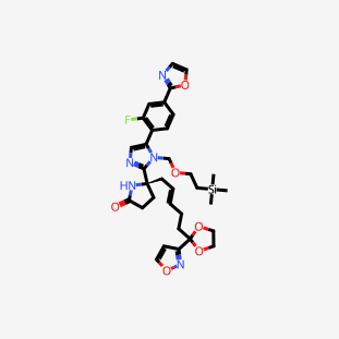 C[Si](C)(C)CCOCn1c(-c2ccc(-c3ncco3)cc2F)cnc1[C@]1(C/C=C/CCC2(c3ccon3)OCCO2)CCC(=O)N1